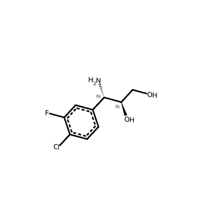 N[C@@H](c1ccc(Cl)c(F)c1)[C@H](O)CO